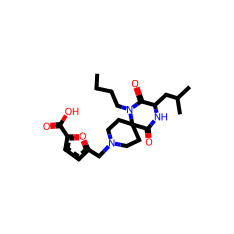 CCCCN1C(=O)C(CC(C)C)NC(=O)C12CCN(Cc1ccc(C(=O)O)o1)CC2